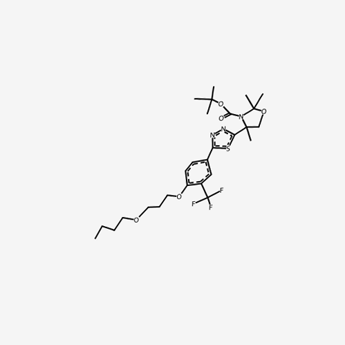 CCCCOCCCOc1ccc(-c2nnc(C3(C)COC(C)(C)N3C(=O)OC(C)(C)C)s2)cc1C(F)(F)F